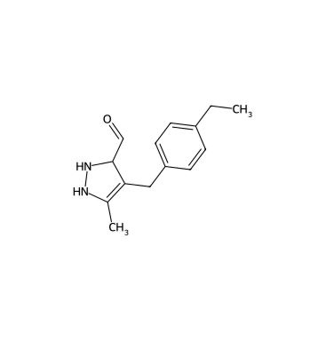 CCc1ccc(CC2=C(C)NNC2C=O)cc1